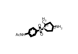 CC(=O)Nc1ccc(S(=O)(=O)N2CC[C@H](N)C[C@@H]2C)cc1